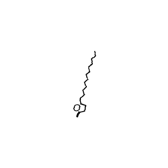 C=C1CCC(CCCCCCCCCCCCC)O1